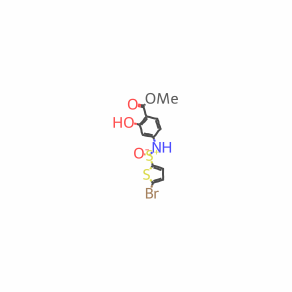 COC(=O)c1ccc(N[S+]([O-])c2ccc(Br)s2)cc1O